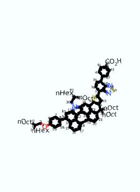 CCCCCCCCC(CCCCCC)COc1ccc(-c2cc3c4c5c2cccc5c2ccc5c6c(cc(c4c62)n3CC(CCCCCC)CCCCCCCC)-c2sc(-c3ccc(-c4ccc(C(=O)O)cc4)c4nsnc34)cc2C5(CCCCCCCC)CCCCCCCC)cc1